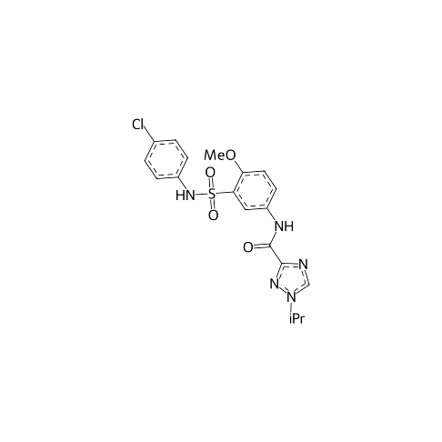 COc1ccc(NC(=O)c2ncn(C(C)C)n2)cc1S(=O)(=O)Nc1ccc(Cl)cc1